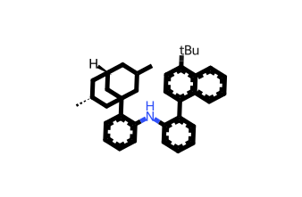 CC1C[C@H]2C[C@@H](C)CC(c3ccccc3Nc3ccccc3-c3ccc(C(C)(C)C)c4ccccc34)(C1)C2